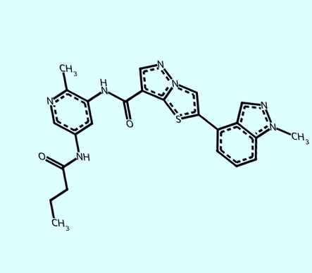 CCCC(=O)Nc1cnc(C)c(NC(=O)c2cnn3cc(-c4cccc5c4cnn5C)sc23)c1